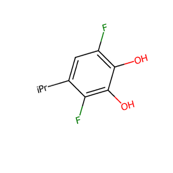 CC(C)c1cc(F)c(O)c(O)c1F